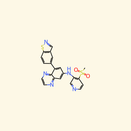 CS(=O)(=O)c1ccncc1Nc1cc(-c2ccc3sncc3c2)c2nccnc2c1